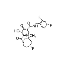 C[C@]12CC(F)CCN(C1)C(=O)c1c(O)c(=O)c(C(=O)NCc3ccc(F)cc3F)cn12